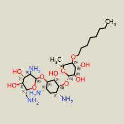 CCCCCCCCO[C@H]1[C@H](O)[C@@H](O)[C@H](O[C@@H]2[C@@H](O)[C@H](O[C@H]3O[C@H](CN)[C@@H](O)[C@H](O)[C@H]3N)[C@@H](N)C[C@H]2N)O[C@@H]1C